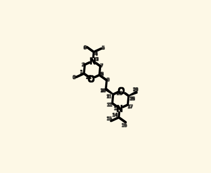 CC1CN(C(C)C)CC(CC[C@@H]2CN(C(C)C)C[C@H](C)O2)O1